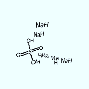 O=S(=O)(O)O.[NaH].[NaH].[NaH].[NaH].[NaH]